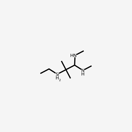 CC[SiH2]C(C)(C)C(NC)NC